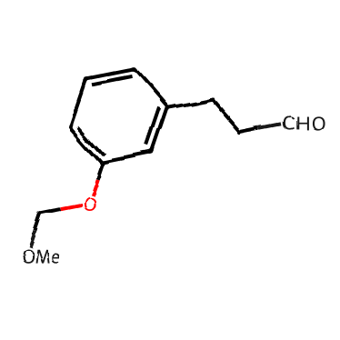 COCOc1cccc(CCC=O)c1